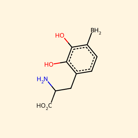 Bc1ccc(CC(N)C(=O)O)c(O)c1O